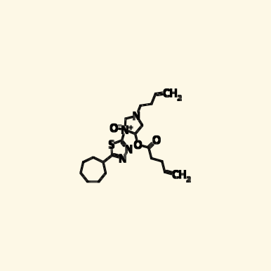 C=CCCC(=O)OC1CN(CCC=C)C[N+]1([O-])c1nnc(C2CCCCCC2)s1